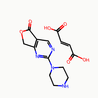 O=C(O)C=CC(=O)O.O=C1OCc2nc(N3CCNCC3)ncc21